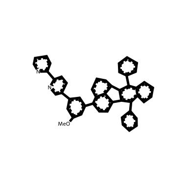 COc1cc(-c2ccc(-c3ccccn3)nc2)cc(-c2ccc3c4c(cccc24)-c2c-3c(-c3ccccc3)c3ccccc3c2-c2ccccc2)c1